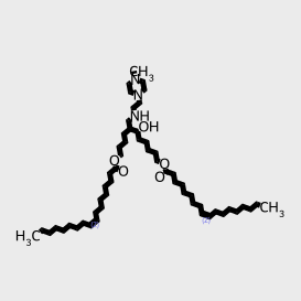 CCCCCCCC/C=C\CCCCCCCC(=O)OCCCCCC(O)C(CCCCOC(=O)CCCCCCC/C=C\CCCCCCCC)CNCCN1CCN(C)CC1